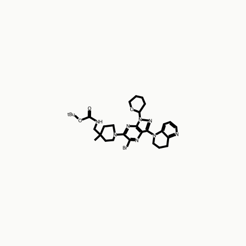 CC1(CNC(=O)OC(C)(C)C)CCN(c2nc3c(nc2Br)c(N2CCCc4ncccc42)nn3C2CCCCO2)CC1